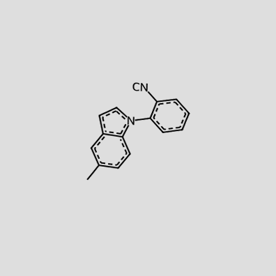 [C-]#[N+]c1ccccc1-n1ccc2cc(C)ccc21